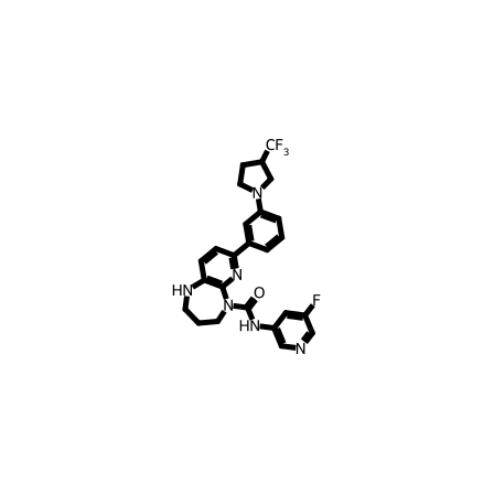 O=C(Nc1cncc(F)c1)N1CCCNc2ccc(-c3cccc(N4CCC(C(F)(F)F)C4)c3)nc21